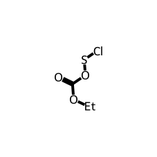 CCOC(=O)OSCl